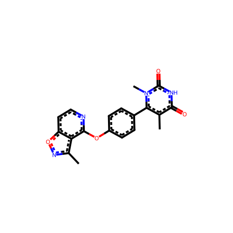 Cc1c(-c2ccc(Oc3nccc4onc(C)c34)cc2)n(C)c(=O)[nH]c1=O